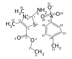 CCOC(=O)c1sc(N)[n+](C)c1C.Cc1ccc(S(=O)(=O)[O-])cc1